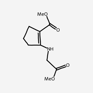 COC(=O)CNC1=C(C(=O)OC)CCC1